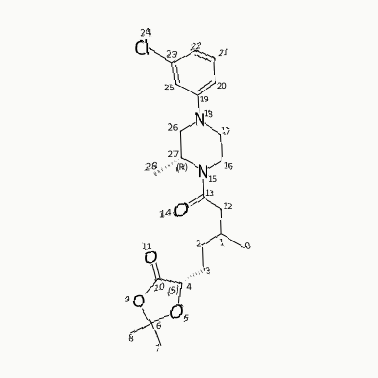 CC(CC[C@@H]1OC(C)(C)OC1=O)CC(=O)N1CCN(c2cccc(Cl)c2)C[C@H]1C